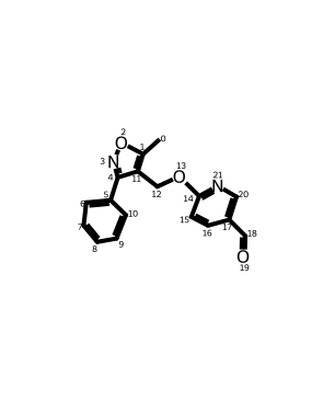 Cc1onc(-c2ccccc2)c1COc1ccc(C=O)cn1